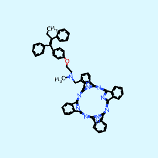 CC/C(=C(\c1ccccc1)c1ccc(OCCN(C)Cc2cccc3c4nc5nc(nc6[nH]c(nc7nc(nc([nH]4)c23)-c2ccccc2-7)c2ccccc62)-c2ccccc2-5)cc1)c1ccccc1